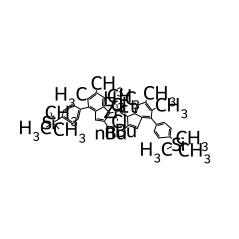 CCCCC1=Cc2c(-c3ccc([Si](C)(C)C)cc3)c(C)c(C)c(C)c2[CH]1[Zr]([Cl])([Cl])([CH2]C)[CH]1C(CCCC)=Cc2c(-c3ccc([Si](C)(C)C)cc3)c(C)c(C)c(C)c21